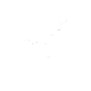 NC(=O)NC(=O)[N+]1(C2=Cc3ccccc3C2CC(Cl)(Cl)Cl)CCN(C2=Cc3ccccc3C2CC(Cl)(Cl)Cl)CC1